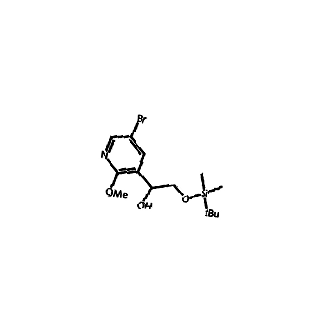 COc1ncc(Br)cc1C(O)CO[Si](C)(C)C(C)(C)C